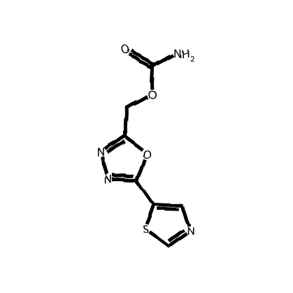 NC(=O)OCc1nnc(-c2cncs2)o1